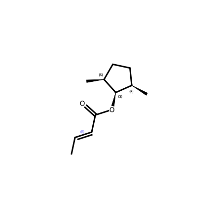 C/C=C/C(=O)O[C@@H]1[C@H](C)CC[C@@H]1C